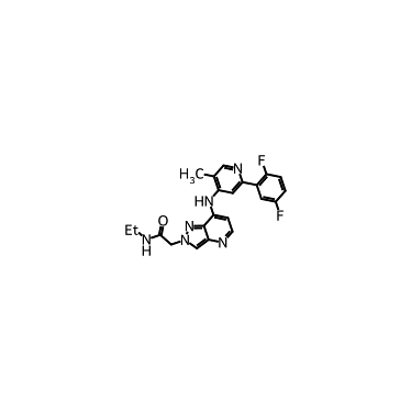 CCNC(=O)Cn1cc2nccc(Nc3cc(-c4cc(F)ccc4F)ncc3C)c2n1